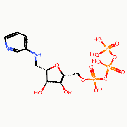 O=P(O)(O)OP(=O)(O)OP(=O)(O)OC[C@H]1O[C@@H](CNc2cccnc2)[C@H](O)[C@@H]1O